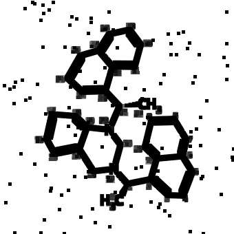 C[C@H](c1cccc2ccccc12)N1Cc2ccccc2N([C@@H](C)c2cccc3ccccc23)C1